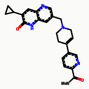 CNC(=O)c1ccc(C2=CCN(Cc3cnc4cc(C5CC5)c(=O)[nH]c4c3)CC2)cn1